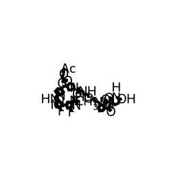 CC(=O)COCC(=O)O[C@@H](c1ccc(Nc2ncc(F)c(-c3cc(F)c4nc(C)n(C(C)C)c4c3)n2)nc1)C1CCN(CC(=O)NCCOCCNc2cccc3c2C(=O)N(C2CCC(O)NC2=O)C3=O)CC1